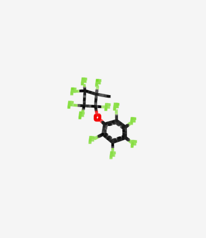 CC1(F)C(F)(F)C(F)(F)C1(F)Oc1c(F)c(F)c(F)c(F)c1F